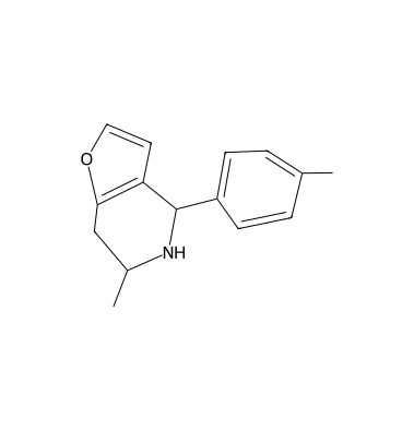 Cc1ccc(C2NC(C)Cc3occc32)cc1